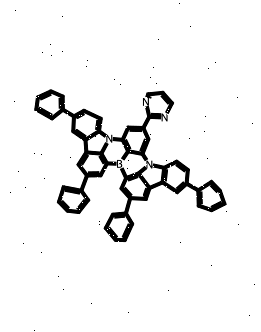 c1ccc(-c2ccc3c(c2)c2cc(-c4ccccc4)cc4c2n3-c2cc(-c3ncccn3)cc3c2B4c2cc(-c4ccccc4)cc4c5cc(-c6ccccc6)ccc5n-3c24)cc1